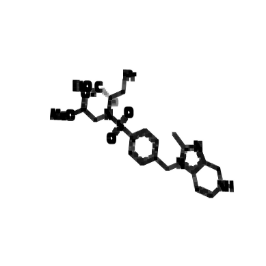 CCOC(=O)[C@H](CC(C)C)N(CC(=O)OC)S(=O)(=O)c1ccc(Cn2c(C)nc3c2C=CNC3)cc1